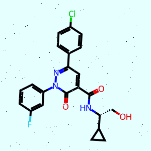 O=C(N[C@H](CO)C1CC1)c1cc(-c2ccc(Cl)cc2)nn(-c2cccc(F)c2)c1=O